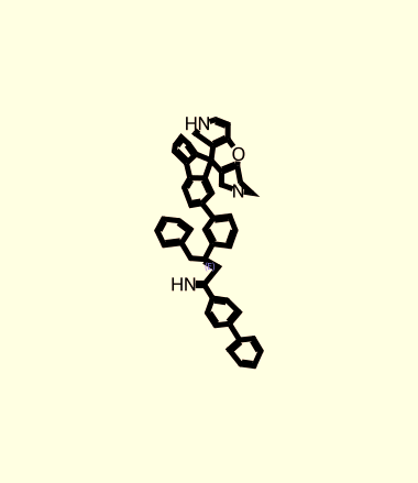 N=C(/C=C(\Cc1ccccc1)c1cccc(-c2ccc3c(c2)C2(C4=C(C=CNC4)OC4=C2CN2CC42)c2ccccc2-3)c1)c1ccc(-c2ccccc2)cc1